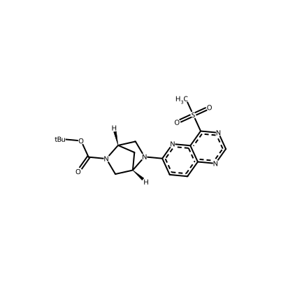 CC(C)(C)OC(=O)N1C[C@@H]2C[C@H]1CN2c1ccc2ncnc(S(C)(=O)=O)c2n1